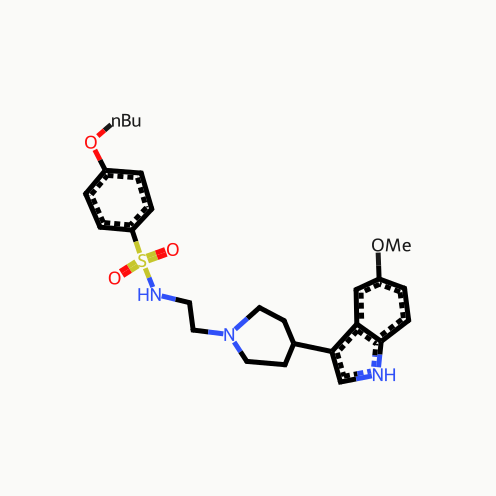 CCCCOc1ccc(S(=O)(=O)NCCN2CCC(c3c[nH]c4ccc(OC)cc34)CC2)cc1